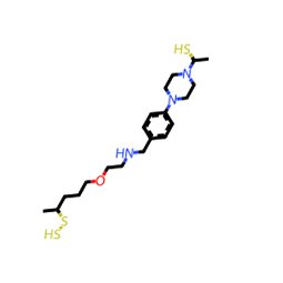 CC(CCCOCCNCc1ccc(N2CCN(C(C)S)CC2)cc1)SS